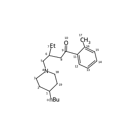 CCCCC1CCN(CC(CC)CC(=O)c2ccccc2C)CC1